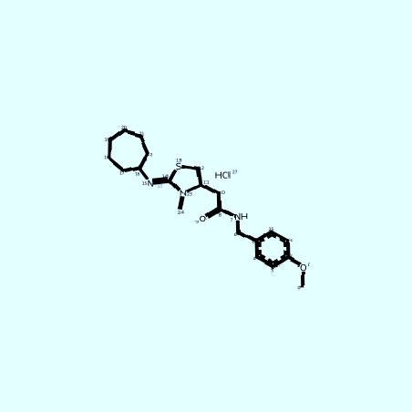 COc1ccc(CNC(=O)CC2CS/C(=N\C3CCCCCC3)N2C)cc1.Cl